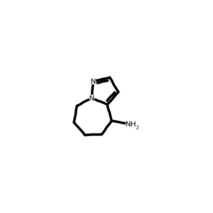 NC1CCCCn2nccc21